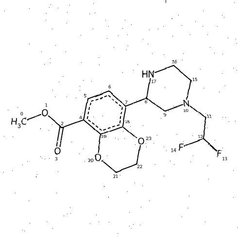 COC(=O)c1ccc(C2CN(CC(F)F)CCN2)c2c1OCCO2